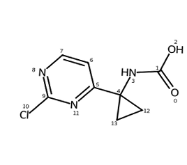 O=C(O)NC1(c2ccnc(Cl)n2)CC1